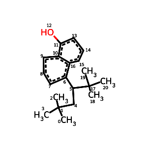 CC(C)(C)CC(c1cccc2c(O)cccc12)C(C)(C)C